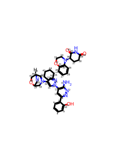 Nc1nnc(-c2ccccc2O)cc1-n1cc(N2CC3CN([C@H]4CC[C@@H](c5cccc6c5OCCN6[C@@H]5CCC(=O)NC5=O)CC4)[C@H](CO3)C2)cn1